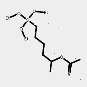 CCO[Si](CCCCC(C)OC(C)=S)(OCC)OCC